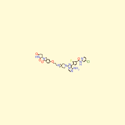 Nc1nccn2c(N3CCC4(CC3)CN(CCCOc3ccc5c(c3)CN(C3CCC(=O)NC3=O)C5=O)C4)nc(-c3ccc(C(=O)Nc4cc(Cl)ccn4)cc3F)c12